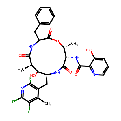 Cc1c(F)c(F)nc(F)c1C[C@@H]1NC(=O)[C@@H](NC(=O)c2ncccc2O)[C@@H](C)OC(=O)C(Cc2ccccc2)NC(=O)[C@H](C)[C@@H]1O